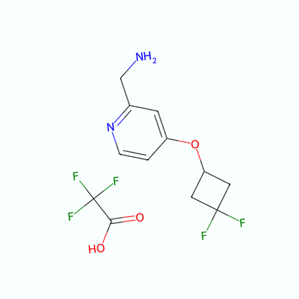 NCc1cc(OC2CC(F)(F)C2)ccn1.O=C(O)C(F)(F)F